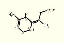 C[N+](CC(=O)[O-])=C1NCN=C(N)N1